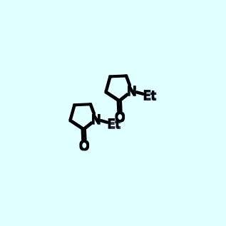 CCN1CCCC1=O.CCN1CCCC1=O